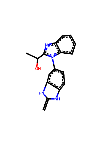 C=C1Nc2ccc(-n3c(C(C)O)nc4ccccc43)cc2N1